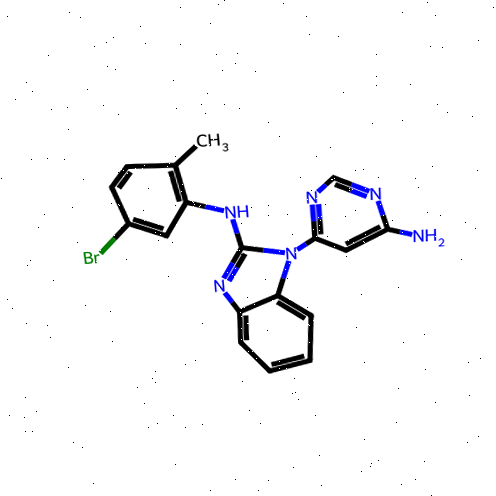 Cc1ccc(Br)cc1Nc1nc2ccccc2n1-c1cc(N)ncn1